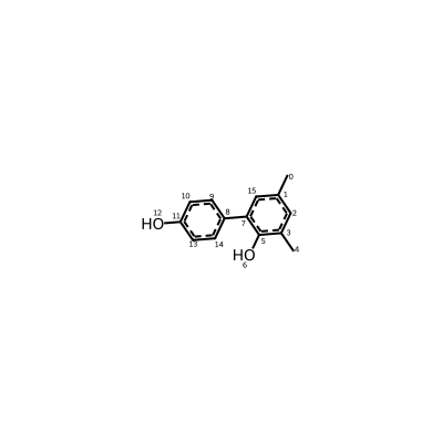 Cc1cc(C)c(O)c(-c2ccc(O)cc2)c1